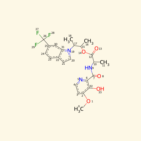 COc1ccnc(C(=O)NC(C)C(=O)OC(C)C(C)n2ccc3ccc(C(F)(F)F)cc32)c1O